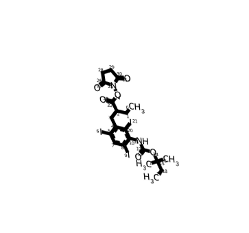 CCC(Cc1c(I)cc(I)c(NC(=O)OC(C)(C)CC)c1I)C(=O)ON1C(=O)CCC1=O